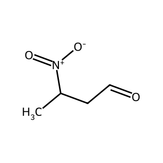 CC(CC=O)[N+](=O)[O-]